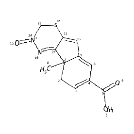 CC12CC=C(C(=O)O)C=C1C=C1SC[N+](=O)N=C12